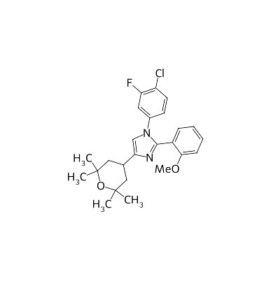 COc1ccccc1-c1nc(C2CC(C)(C)OC(C)(C)C2)cn1-c1ccc(Cl)c(F)c1